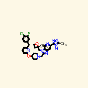 Fc1cc(Cc2cccc(OC3CCN(Cc4nc5cc(-c6nnc(C(F)(F)F)[nH]6)ncc5n4C[C@]4([SiH3])CCO4)CC3)n2)ccc1Cl